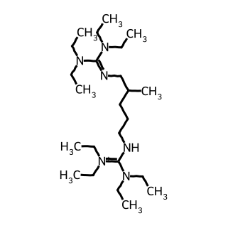 CCN(CC)C(=NCC(C)CCCNC(N(CC)CC)=[N+](CC)CC)N(CC)CC